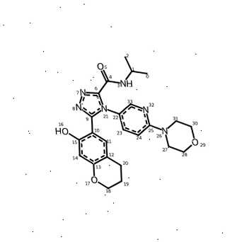 CC(C)NC(=O)c1nnc(-c2cc3c(cc2O)OCCC3)n1-c1ccc(N2CCOCC2)nc1